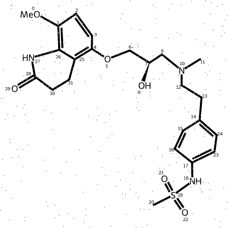 COc1ccc(OC[C@H](O)CN(C)CCc2ccc(NS(C)(=O)=O)cc2)c2c1NC(=O)CC2